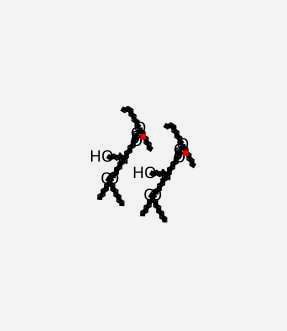 CC/C=C\CCCCCOC(CCCCCCC)O[Si](C)(C)OCCCCCCN(CCCCO)CCCCCCOC(=O)C(CCCCCC)CCCCCCCC.CC/C=C\CCCCCOC(CCCCCCC)O[Si](C)(C)OCCCCCCN(CCCCO)CCCCCCOC(=O)C(CCCCCC)CCCCCCCC